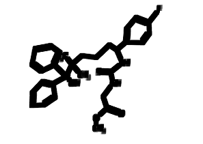 COC(=O)CNC(=S)NC(CCCC(C)(C)[Si](O)(c1ccccc1)c1ccccc1)c1ccc(F)cc1